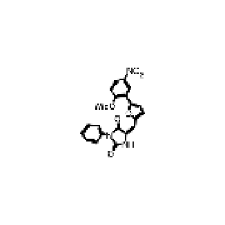 COc1ccc([N+](=O)[O-])cc1-c1ccc(C=C2NC(=O)N(c3ccccc3)C2=O)o1